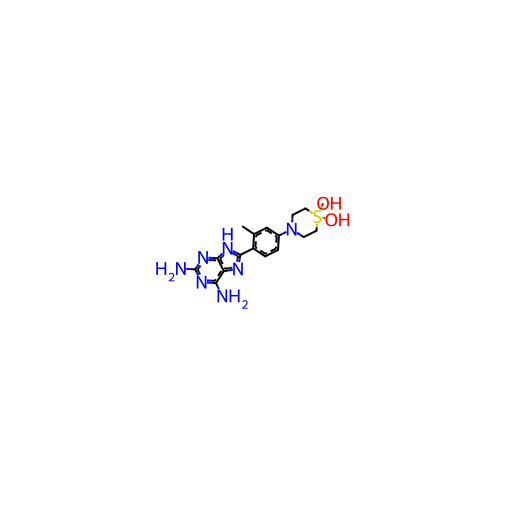 Cc1cc(N2CCS(O)(O)CC2)ccc1-c1nc2c(N)nc(N)nc2[nH]1